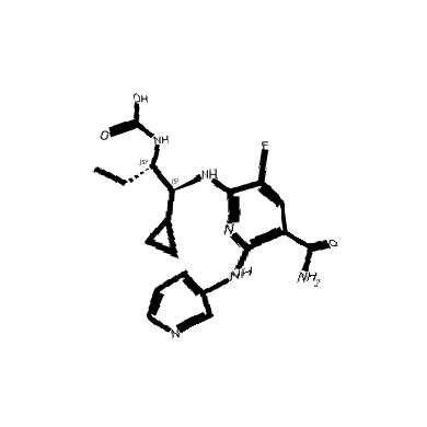 CC[C@H](NC(=O)O)[C@@H](Nc1nc(Nc2cccnc2)c(C(N)=O)cc1F)C1CC1